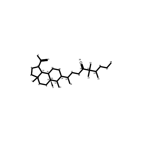 C=C(C)C1CCC2(C)CC[C@@]3(C)C(C)C(C(C)CCC(=O)C(C)(C)C(C)CCC)CCC3C12